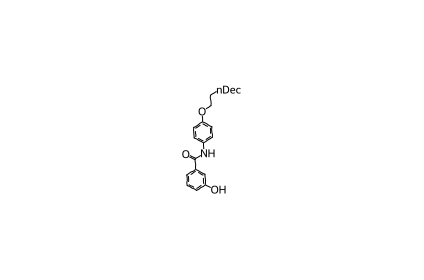 CCCCCCCCCCCCOc1ccc(NC(=O)c2cccc(O)c2)cc1